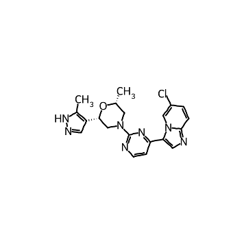 Cc1[nH]ncc1[C@H]1CN(c2nccc(-c3cnc4ccc(Cl)cn34)n2)C[C@@H](C)O1